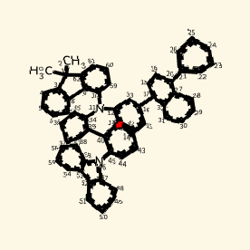 CC1(C)c2ccccc2-c2c(N(c3cccc(-c4ccc(-c5ccccc5)c5ccccc45)c3)c3ccccc3-c3ccccc3-n3c4ccccc4c4ccccc43)cccc21